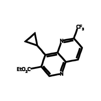 CCOC(=O)c1cnc2ccc(C(F)(F)F)nc2c1C1CC1